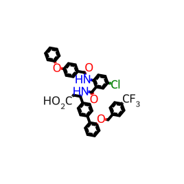 O=C(O)CC(NC(=O)c1cc(Cl)ccc1NC(=O)c1ccc(Oc2ccccc2)cc1)c1ccc(-c2ccccc2OCc2ccc(C(F)(F)F)cc2)cc1